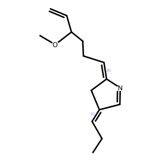 C=CC(CC/C=C1\C/C(=C/CC)C=N1)OC